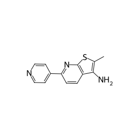 Cc1sc2nc(-c3ccncc3)ccc2c1N